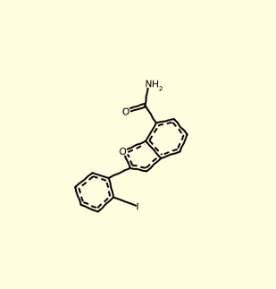 NC(=O)c1cccc2cc(-c3ccccc3I)oc12